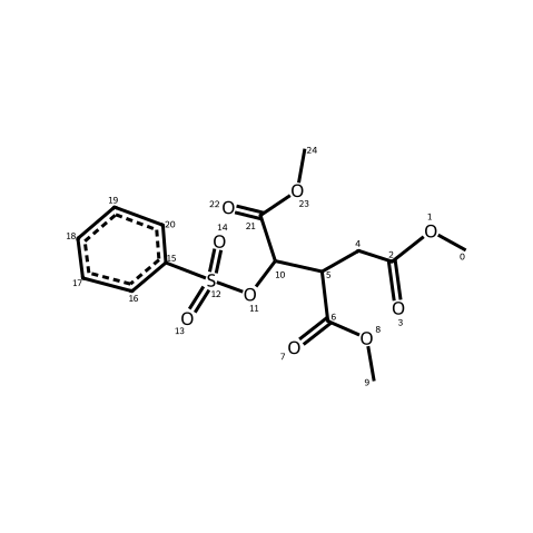 COC(=O)CC(C(=O)OC)C(OS(=O)(=O)c1ccccc1)C(=O)OC